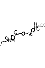 O=C(O)/C=C/C(=O)Nc1ccc(C(=O)/C=C/c2ccc(/C=C/C(=O)c3ccc(NC(=O)/C=C/C(=O)O)cc3)cc2)cc1